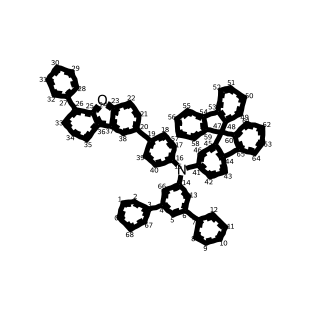 c1ccc(-c2cc(-c3ccccc3)cc(N(c3ccc(-c4ccc5oc6c(-c7ccccc7)cccc6c5c4)cc3)c3ccc4c(c3)C3(c5ccccc5-c5ccccc53)c3ccccc3-4)c2)cc1